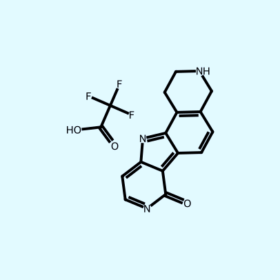 O=C(O)C(F)(F)F.O=C1N=CC=C2N=c3c4c(ccc3=C12)CNCC4